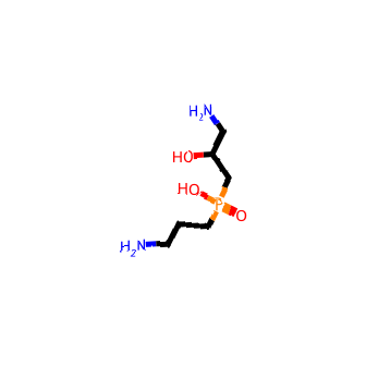 NCCCP(=O)(O)CC(O)CN